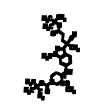 CO[C@@H]1CN(C(=O)OC(C)(C)C)CC[C@H]1Nc1ccc2c(C(C)(C#N)CCC(=O)OC(C)(C)C)nn(C)c2c1